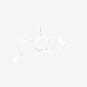 C=C(C)/C=C\c1c(C)c2c(n1C)CCC(C)=C2